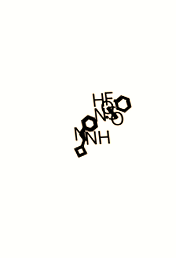 O=S(=O)(CNc1ccc2nc(C3CCC3)[nH]c2c1)[C@H]1CC=CC=C1F